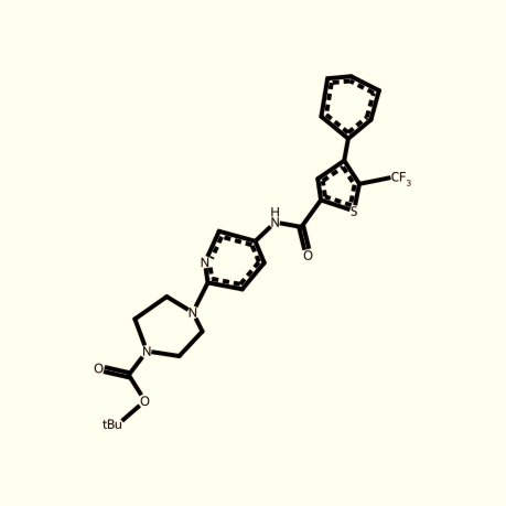 CC(C)(C)OC(=O)N1CCN(c2ccc(NC(=O)c3cc(-c4ccccc4)c(C(F)(F)F)s3)cn2)CC1